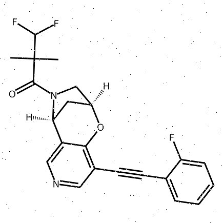 CC(C)(C(=O)N1C[C@@H]2C[C@H]1c1cncc(C#Cc3ccccc3F)c1O2)C(F)F